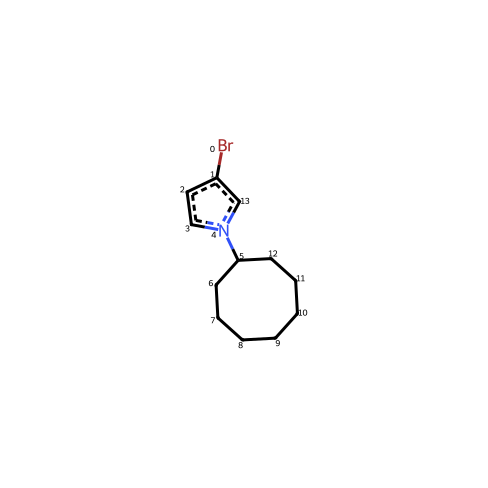 Brc1ccn(C2CCCCCCC2)c1